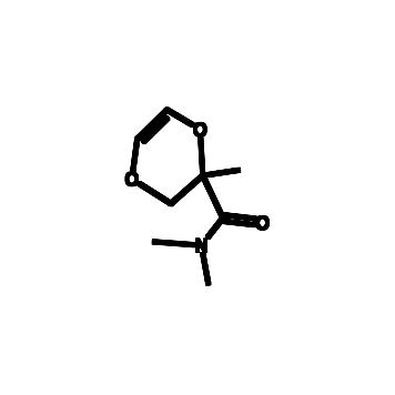 CN(C)C(=O)C1(C)COC=CO1